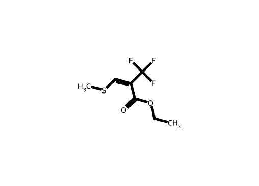 CCOC(=O)/C(=C\SC)C(F)(F)F